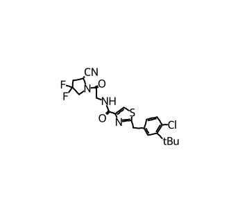 CC(C)(C)c1cc(Cc2nc(C(=O)NCC(=O)N3CC(F)(F)C[C@H]3C#N)cs2)ccc1Cl